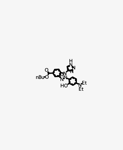 CCCCOC(=O)c1ccc2c(c1)NN(c1ccc(N(CC)CC)cc1O)N2c1c[nH]nn1